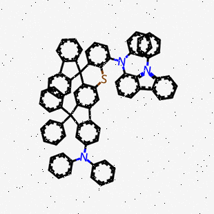 c1ccc(N(c2ccccc2)c2ccc3c(c2)C(c2ccccc2)(c2ccccc2)c2cc4c(cc2-3)Sc2c(N(c3ccccc3)c3cccc5c6ccccc6n(-c6ccccc6)c35)cccc2C42c3ccccc3-c3ccccc32)cc1